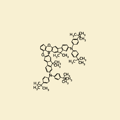 CC(C)(C)c1ccc(N(c2ccc([Si](C)(C)C)cc2)c2ccc3c(c2)C(C)(C)c2cc4c(cc2-3)Oc2cccc3c2B4c2cc4c(cc2O3)-c2ccc(N(c3ccc(C(C)(C)C)cc3)c3ccc([Si](C)(C)C)cc3)cc2C4(C)C)cc1